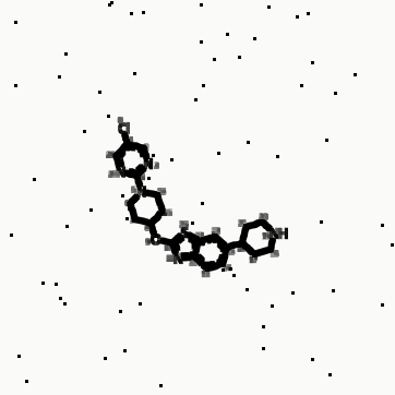 Clc1cnc(N2CCC(Oc3nc4ccc(C5CCNCC5)cc4s3)CC2)nc1